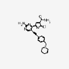 NC(=O)C1=CC(c2nc(N)ncc2C#Cc2ccc(CN3CCCCC3)cc2)=NC1Cl